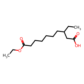 CCOC(=O)CCCCCCC(CC)CC(=O)O